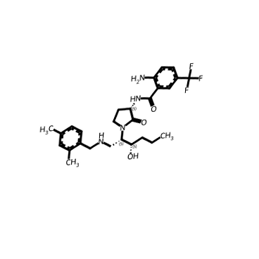 CCC[C@H](O)[C@H](CNCc1ccc(C)cc1C)N1CC[C@H](NC(=O)c2cc(C(F)(F)F)ccc2N)C1=O